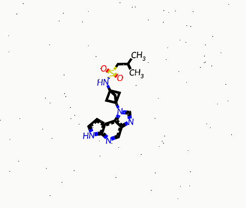 CC(C)CS(=O)(=O)NC12CC(n3cnc4cnc5[nH]ccc5c43)(C1)C2